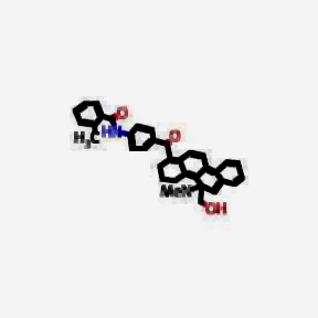 CNC1(CO)C=c2ccccc2=c2ccc3c(c21)CCCC=3C(=O)c1ccc(NC(=O)c2ccccc2C)cc1